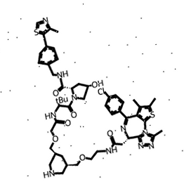 Cc1ncsc1-c1ccc(CNC(=O)[C@@H]2C[C@@H](O)CN2C(=O)[C@@H](NC(=O)COC[C@@H]2CNC[C@H](COCCNC(=O)C[C@@H]3N=C(c4ccc(Cl)cc4)c4c(sc(C)c4C)-n4c(C)nnc43)C2)C(C)(C)C)cc1